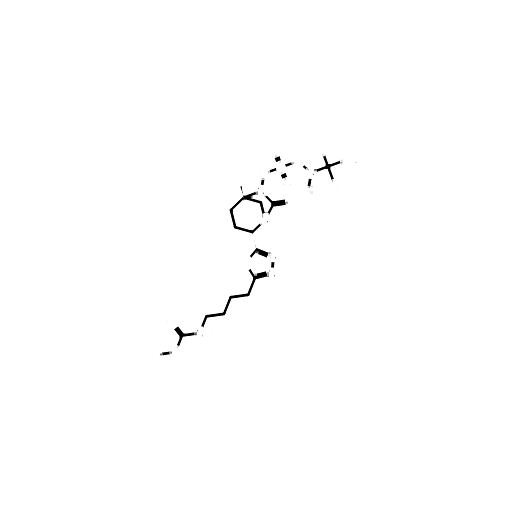 CCCCN(OS(=O)(=O)ON1C(=O)N2C[C@@H]1CC[C@H]2c1nnc(CCCCNC(=O)OC(C)(C)C)o1)C(CCC)(CCCC)CCCC